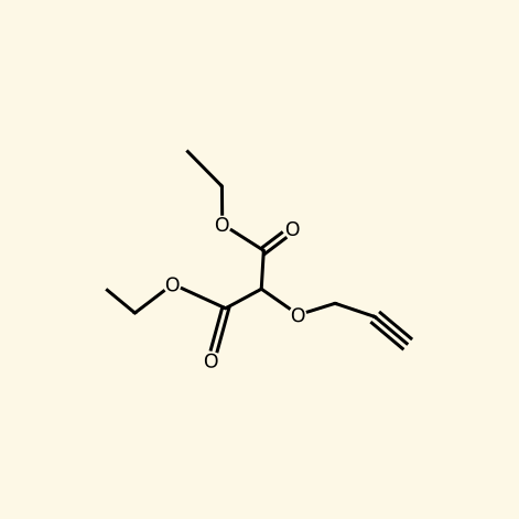 C#CCOC(C(=O)OCC)C(=O)OCC